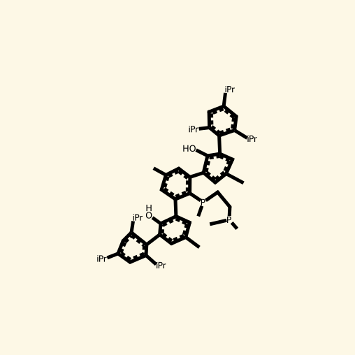 Cc1cc(-c2cc(C)cc(-c3cc(C)cc(-c4c(C(C)C)cc(C(C)C)cc4C(C)C)c3O)c2P(C)CCP(C)C)c(O)c(-c2c(C(C)C)cc(C(C)C)cc2C(C)C)c1